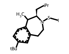 CC(C)C[C@@H]1C(C)c2ccc(C(C)(C)C)cc2CCN1SI